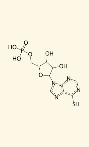 O=P(O)(O)OCC1OC(n2cnc3c(S)ncnc32)C(O)C1O